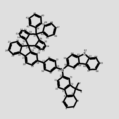 CC1(C)C2=C(C=CCC2)c2ccc(N(c3ccc(-c4ccc5c(c4)C4(c6ccccc6-5)c5ccccc5C(c5ccccc5)(c5ccccc5)c5ccccc54)cc3)c3ccc4sc5ccccc5c4c3)cc21